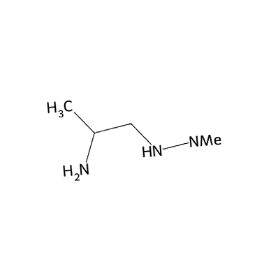 CNNCC(C)N